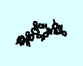 COc1cnc2c(-c3nc4cc(F)c(OC5CN(C(=O)O)CCC5OC(=O)Nc5cnc(C)nc5)cc4s3)cc(C)cc2n1